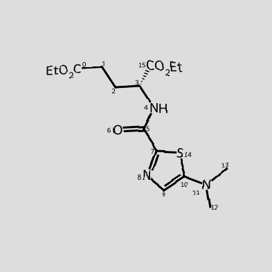 CCOC(=O)CC[C@@H](NC(=O)c1ncc(N(C)C)s1)C(=O)OCC